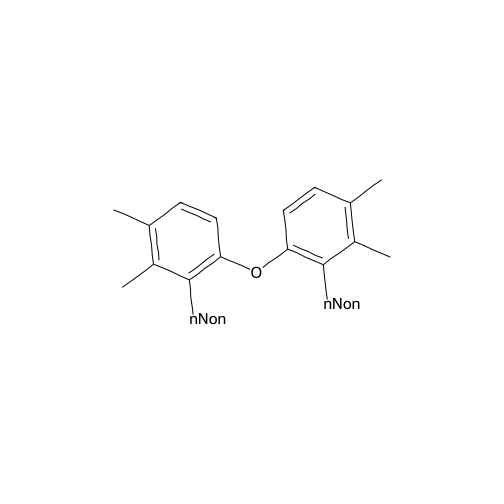 CCCCCCCCCc1c(Oc2ccc(C)c(C)c2CCCCCCCCC)ccc(C)c1C